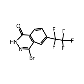 O=c1[nH]nc(Br)c2cc(C(F)(F)C(F)(F)F)ccc12